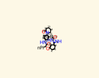 CCCC(Oc1cccc(C(=N)NC(=O)OC)c1)C(=O)Nc1ccc(N2CCCCC2=O)cc1